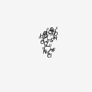 CC(=O)[C@]1(O)[C@@](O)(C(C)=O)CS[C@H](Oc2cnc(Cl)c(F)c2)[C@@]1(O)C(C)=O